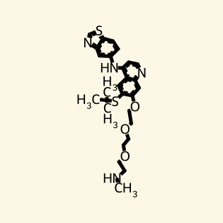 CNCCOCCOCCOc1cc2nccc(Nc3ccc4scnc4c3)c2cc1SC(C)(C)C